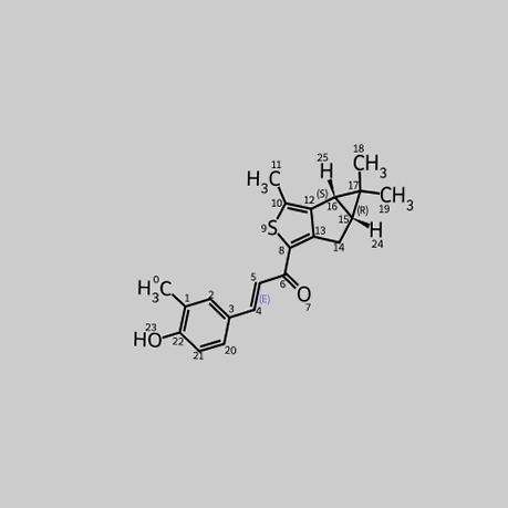 Cc1cc(/C=C/C(=O)c2sc(C)c3c2C[C@@H]2[C@H]3C2(C)C)ccc1O